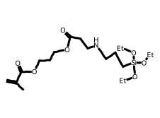 C=C(C)C(=O)OCCCOC(=O)CCNCCC[Si](OCC)(OCC)OCC